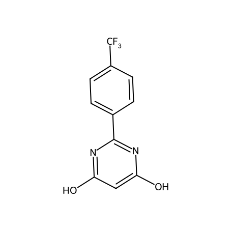 Oc1cc(O)nc(-c2ccc(C(F)(F)F)cc2)n1